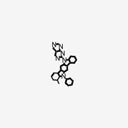 CC1CC=Cc2c1n(-c1ccccc1)c1cc3c4ccccc4n(-c4ncc5cncnc5n4)c3cc21